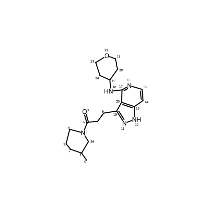 CC1CCCN(C(=O)CCc2n[nH]c3ccnc(NC4CCOCC4)c23)C1